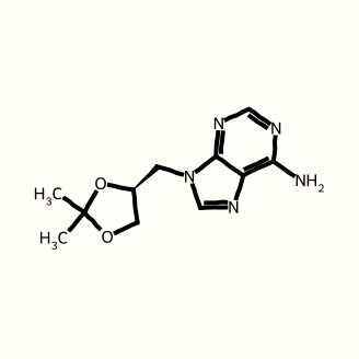 CC1(C)OC[C@H](Cn2cnc3c(N)ncnc32)O1